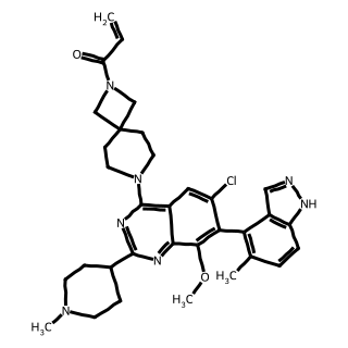 C=CC(=O)N1CC2(CCN(c3nc(C4CCN(C)CC4)nc4c(OC)c(-c5c(C)ccc6[nH]ncc56)c(Cl)cc34)CC2)C1